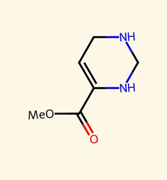 COC(=O)C1=CCNCN1